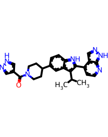 CC(C)c1c(-c2ccnc3[nH]ncc23)[nH]c2ccc(C3CCN(C(=O)c4cn[nH]c4)CC3)cc12